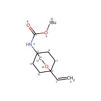 C=CC12CCC(NC(=O)OC(C)(C)C)(CC1)CO2